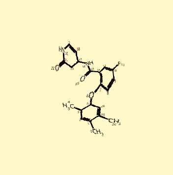 CC1=CC(C)C(Oc2ccc(F)cc2C(=O)NC2C=CNC(=O)C2)C=C1C